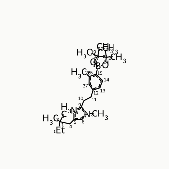 CCC(C)(C)Cc1cn(C)c(CCc2ccc(B3OC(C)(C)C(C)(C)O3)c(C)c2)n1